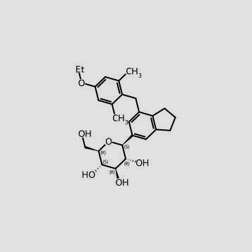 CCOc1cc(C)c(Cc2cc([C@@H]3O[C@H](CO)[C@@H](O)[C@H](O)[C@H]3O)cc3c2CCC3)c(C)c1